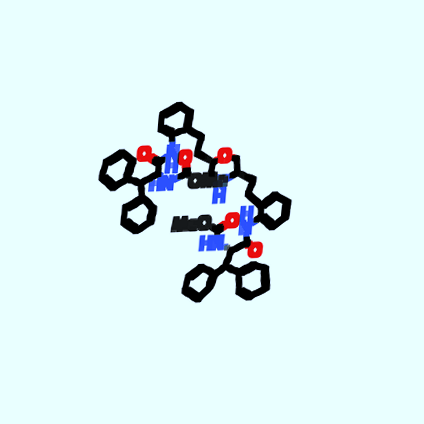 COC(=O)N[C@H](C(=O)Nc1ccccc1CC[C@@H]1CO[C@H](CCc2ccccc2NC(=O)[C@@H](NC(=O)OC)C(c2ccccc2)c2ccccc2)CN1)C(c1ccccc1)c1ccccc1